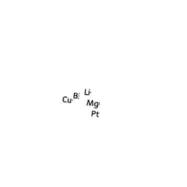 [B].[Cu].[Li].[Mg].[Pt]